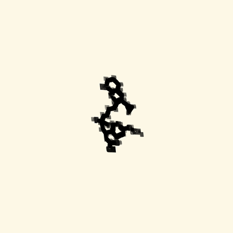 COc1ccc(C(CC(=O)O)CC(F)(F)CCCCc2nc3c(cc2C2CC2)CCCN3)cn1